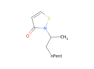 CCCCCCC(C)n1sccc1=O